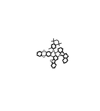 Cc1cc2c(cc1N1B3c4c(cc5c(oc6ccccc65)c4-c4cc5c(cc41)Oc1ccccc1O5)-n1c4c3cccc4c3ccc4ccccc4c31)C(C)(C)CCC2(C)C